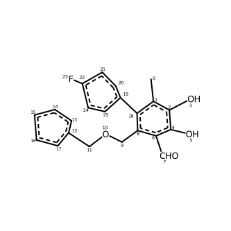 Cc1c(O)c(O)c(C=O)c(COCc2ccccc2)c1-c1ccc(F)cc1